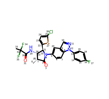 C[C@H]1C(=O)N(c2ccc3c(cnn3-c3ccc(F)cc3)c2)[C@H](c2ccc(Cl)s2)[C@H]1NC(=O)C(C)(F)F